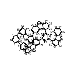 c1ccc2c(c1)-c1ccccc1C21c2ccccc2-c2c(-c3ccc4oc5cccc(-c6nc(-c7ccc8c(c7)sc7ccccc78)nc(-c7cccc8sc9ccccc9c78)n6)c5c4c3)cccc21